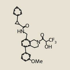 COc1cccc(-c2ccc(CNC(=O)C3CC3c3ccccc3)c3c2CCN(C(=O)C(O)C(F)(F)F)C3)c1